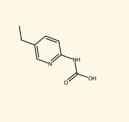 CCc1ccc(NC(=O)O)nc1